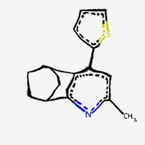 Cc1cc(-c2cccs2)c2c(n1)C1CCC2C1